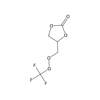 O=C1OCC(COOC(F)(F)F)O1